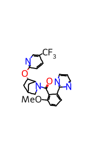 COc1cccc(-c2ncccn2)c1C(=O)N1CC2CC1[C@@H](Oc1ccc(C(F)(F)F)cn1)C2